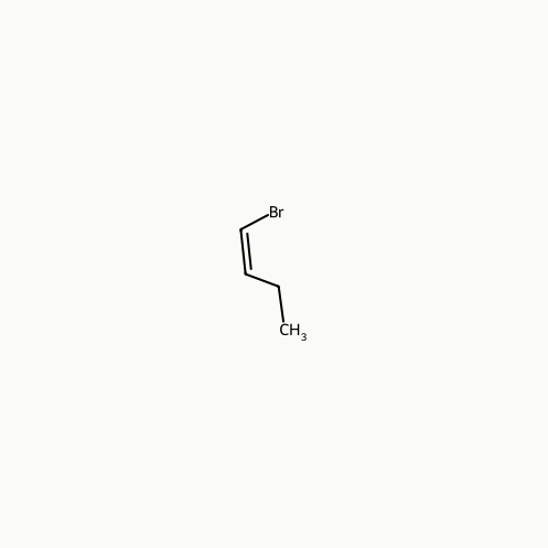 CC/C=C\Br